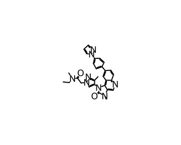 CCN(C)C(=O)Cn1cc(-n2c(=O)n(C)c3cnc4ccc(-c5ccc(-n6cccn6)cc5)cc4c32)c(C)n1